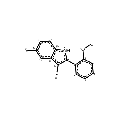 COc1ccccc1-c1[nH]c2ccc(C)cc2c1F